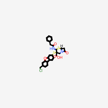 O=C(Cc1ccccc1)NC1S[C@@H]2CC(=O)N2CC1(Sc1ccc2c(c1)oc1cc(CCl)ccc12)C(=O)O